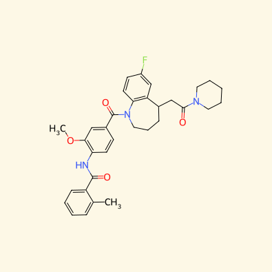 COc1cc(C(=O)N2CCCC(CC(=O)N3CCCCC3)c3cc(F)ccc32)ccc1NC(=O)c1ccccc1C